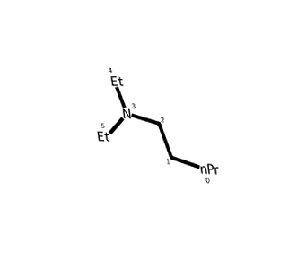 CCCCCN(CC)CC